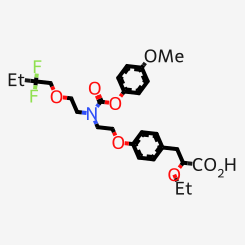 CCOC(Cc1ccc(OCCN(CCOCC(F)(F)CC)C(=O)Oc2ccc(OC)cc2)cc1)C(=O)O